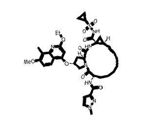 CCOc1cc(O[C@@H]2C[C@H]3C(=O)N[C@]4(C(=O)NS(=O)(=O)C5CC5)C[C@H]4/C=C\CCCCC[C@H](NC(=O)c4ccn(C)n4)C(=O)N3C2)c2ccc(OC)c(C)c2n1